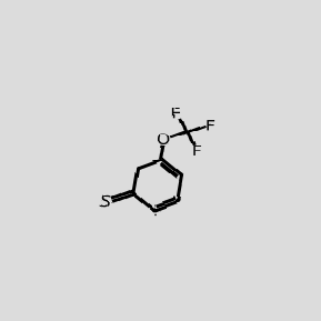 FC(F)(F)OC1=CC=[C]C(=S)C1